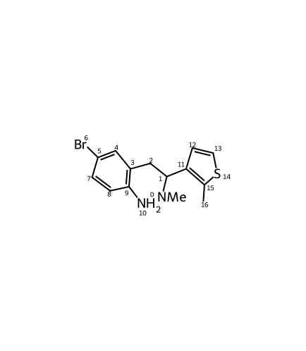 CNC(Cc1cc(Br)ccc1N)c1ccsc1C